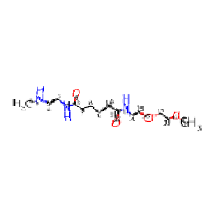 CNCCNC(=O)CCCCC(=O)NCCOCCOC